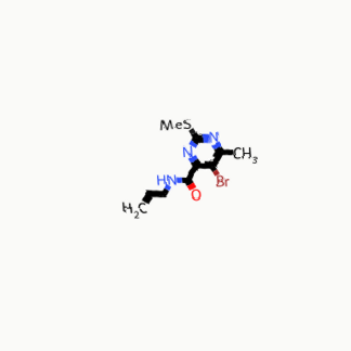 C=CCNC(=O)c1nc(SC)nc(C)c1Br